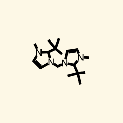 CN1C=CN(CN2C=CN(C)C2C(C)(C)C)C1C(C)(C)C